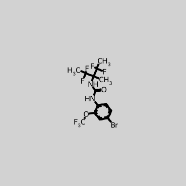 CC(F)(F)C(C)(NC(=O)Nc1ccc(Br)cc1OC(F)(F)F)C(C)(F)F